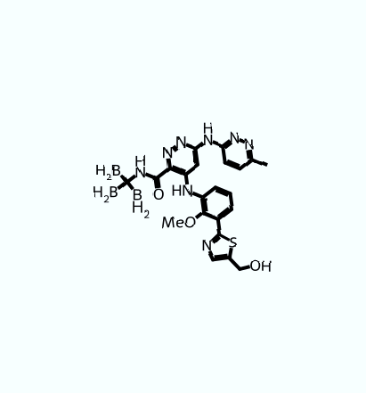 BC(B)(B)NC(=O)c1nnc(Nc2ccc(C)nn2)cc1Nc1cccc(-c2ncc(CO)s2)c1OC